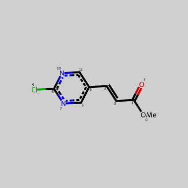 COC(=O)/C=C/c1cnc(Cl)nc1